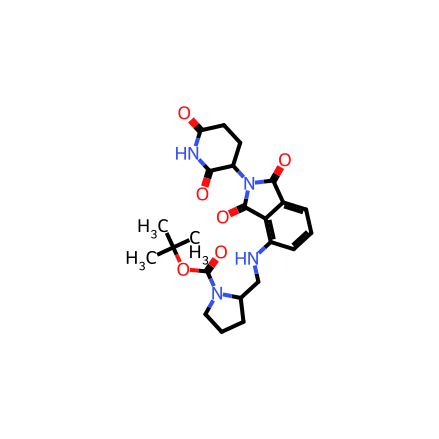 CC(C)(C)OC(=O)N1CCCC1CNc1cccc2c1C(=O)N(C1CCC(=O)NC1=O)C2=O